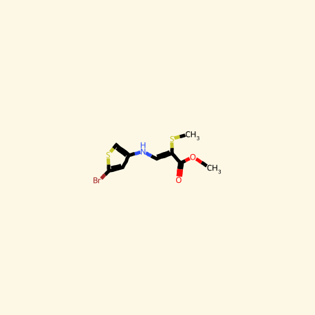 COC(=O)C(=CNc1csc(Br)c1)SC